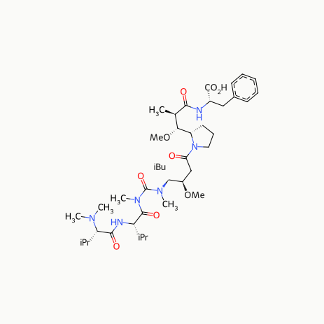 CC[C@H](C)[C@@H]([C@@H](CC(=O)N1CCC[C@H]1[C@H](OC)[C@@H](C)C(=O)N[C@@H](Cc1ccccc1)C(=O)O)OC)N(C)C(=O)N(C)C(=O)[C@@H](NC(=O)[C@H](C(C)C)N(C)C)C(C)C